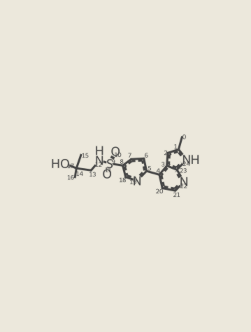 Cc1cc2c(-c3ccc(S(=O)(=O)NCC(C)(C)O)cn3)ccnc2[nH]1